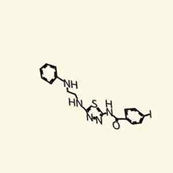 O=C(Nc1nnc(NCCNc2ccccc2)s1)c1ccc(I)cc1